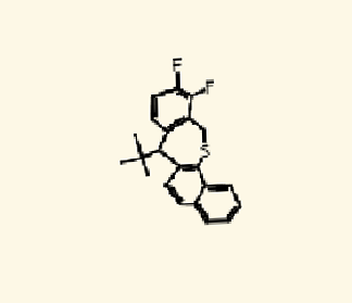 CC(C)(C)C1c2ccc(F)c(F)c2CSc2c1ccc1ccccc21